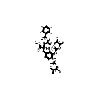 COC(=O)[C@](N)(Cc1ccc(OC(=O)O[C@@H](C)C(C)C)c(OC(=O)OC(C)C(C)C)c1)CC(C)OC(=O)c1ccccc1